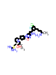 C[C@@H](CO)CN1[C@H](CCSC(=N)N)CCC[C@H]1c1ccc(-n2cc3cc(-c4cc(CCC[C@H](C)N)cc(Cl)c4F)[nH]c3nc2=O)cc1